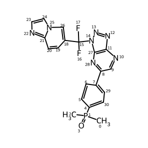 CP(C)(=O)c1ccc(-c2cnc3nnn(C(F)(F)c4ccc5nccn5c4)c3n2)cc1